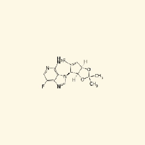 CC1(C)O[C@@H]2[C@@H](C=C(F)[C@@H]2n2cnc3c(F)cnc(N)c32)O1